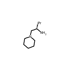 CC(C)[C@@H](N)CN1CCCCC1